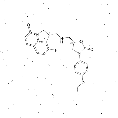 CCOc1ccc(N2C[C@@H](CNC[C@H]3Cn4c(=O)ccc5ccc(F)c3c54)OC2=O)cc1